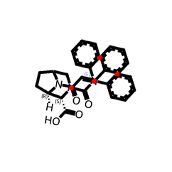 O=C(O)[C@@H]1[C@H]2CCC(CN1C(=O)N(c1ccccc1)c1ccccc1)N2C(=O)/C=C/c1ccccc1